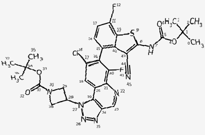 CC(C)(C)OC(=O)Nc1sc2c(F)ccc(-c3c(Cl)cc4c(ncc5nnn(C6CN(C(=O)OC(C)(C)C)C6)c54)c3F)c2c1C#N